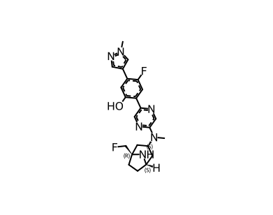 CN(c1cnc(-c2cc(F)c(-c3cnn(C)c3)cc2O)cn1)[C@H]1C[C@@H]2CC[C@](CF)(C1)N2